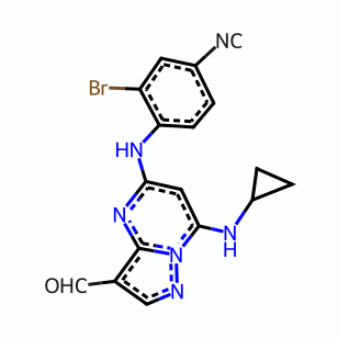 [C-]#[N+]c1ccc(Nc2cc(NC3CC3)n3ncc(C=O)c3n2)c(Br)c1